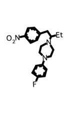 CCC(Cc1ccc([N+](=O)[O-])cc1)N1CCN(c2ccc(F)cc2)CC1